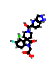 O=C(O)CN1C(=O)C2(CCN(C(=O)c3ccc4[nH]ncc4n3)CC2)c2c1ccc(F)c2Cl